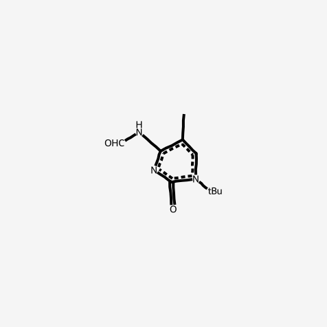 Cc1cn(C(C)(C)C)c(=O)nc1NC=O